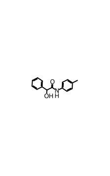 Cc1ccc(NC(=O)C(O)c2ccccc2)cc1